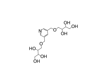 OCC(O)C(O)COCc1cncc(COCC(O)C(O)CO)c1